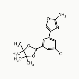 CC1(C)OB(c2cc(Cl)cc(-c3coc(N)n3)c2)OC1(C)C